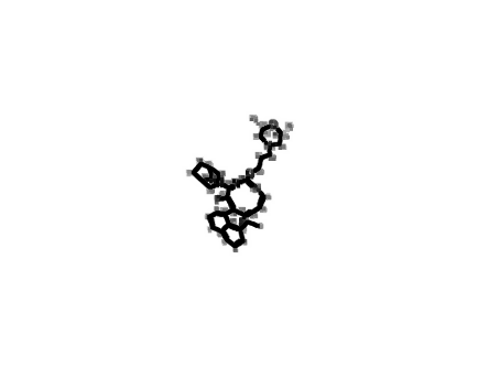 CCc1cccc2cccc(-c3c(F)cccnc(OCCCN4C[C@@H](C)O[C@@H](C)C4)nc(N4CC5CCC(C4)N5)c3F)c12